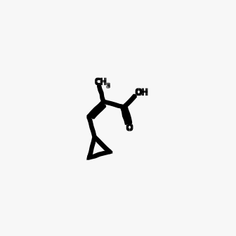 CC(=CC1CC1)C(=O)O